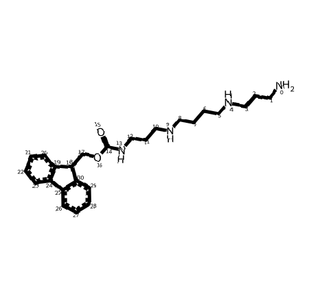 NCCCNCCCCNCCCNC(=O)OCC1c2ccccc2-c2ccccc21